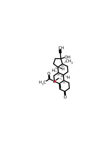 C#CC1(O)CC[C@H]2[C@@H]3CCC4=CC(=O)CC[C@]4(COC(C)=O)[C@@H]3CC[C@@]21C